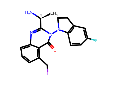 C[C@H](N)c1nc2cccc(CI)c2c(=O)n1N1CCc2cc(F)ccc21